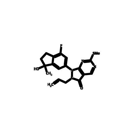 C=CCn1c(=O)c2cnc(SC)nc2n1-c1cc(F)c2c(c1)C(C)(O)CC2